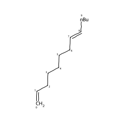 C=CCCCC[CH]C=CCCCC